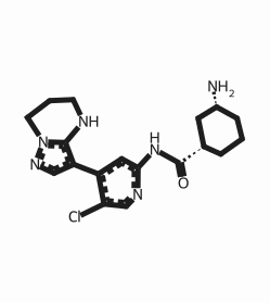 N[C@@H]1CCC[C@H](C(=O)Nc2cc(-c3cnn4c3NCCC4)c(Cl)cn2)C1